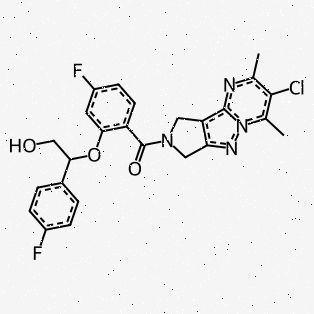 Cc1nc2c3c(nn2c(C)c1Cl)CN(C(=O)c1ccc(F)cc1OC(CO)c1ccc(F)cc1)C3